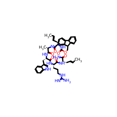 CC=CC[C@H](NC(=O)[C@H](CCCNC(=N)N)NC(=O)[C@H](Cc1c[nH]c2ccccc12)NC(=O)[C@H](C)NC(=O)[C@H](CC=CC)NC(=O)OCC1c2ccccc2-c2ccccc21)C(N)=O